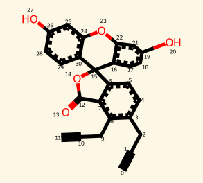 C#CCc1ccc2c(c1CC#C)C(=O)OC21c2ccc(O)cc2Oc2cc(O)ccc21